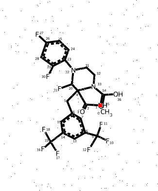 CNC(=O)C1(Cc2cc(C(F)(F)F)cc(C(F)(F)F)c2)C(F)N(c2ccc(F)cc2F)CCN1C(=O)O